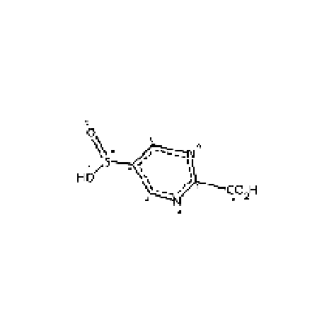 O=C(O)c1ncc(S(=O)O)cn1